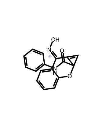 O=C(Nc1ccccc1)C12C=C1/C(=N\O)c1ccccc1O2